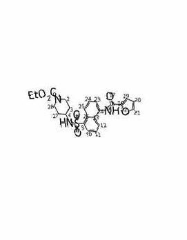 CCOC(=O)N1CCC(NS(=O)(=O)c2cccc3c(NC(=O)c4ccco4)cccc23)CC1